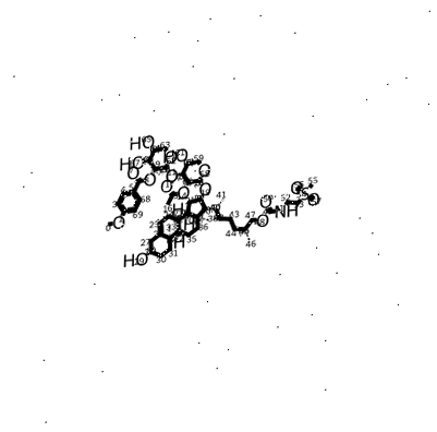 COc1ccc(C(=O)O[C@H]2[C@H](O[C@@H]3[C@@H](OC(C)=O)[C@H](O[C@H]4C[C@H]5[C@@H]6CC=C7C[C@@H](O)CC[C@]7(C)[C@H]6CC[C@]5(C)[C@H]4[C@H](C)CCC[C@@H](C)COC(=O)NCCS(C)(=O)=O)OC[C@@H]3O)OC[C@@H](O)[C@@H]2O)cc1